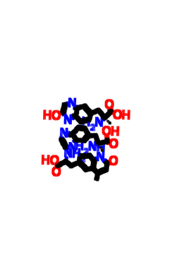 C[C@](N)(Cc1ccc2nc(O)cnc2c1)C(=O)O.C[C@](N)(Cc1ccc2nccnc2c1)C(=O)O.Cc1cc(=O)[nH]c2ccc(C[C@H](N)C(=O)O)cc12